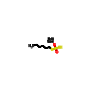 CCCCCCSS(=O)(=O)S.[NaH].[NaH]